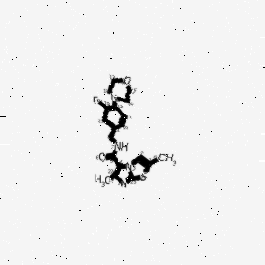 Cc1cn2c(C(=O)NCc3ccc(N4CCOCC4)c(F)c3)c(C)nc2s1